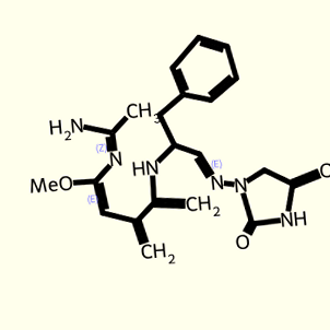 C=C(/C=C(\N=C(\C)N)OC)C(=C)NC(/C=N/N1CC(=O)NC1=O)Cc1ccccc1